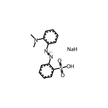 CN(C)c1ccccc1/N=N/c1ccccc1S(=O)(=O)O.[NaH]